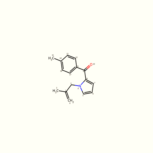 C=C(C)Cn1cccc1C(=O)c1ccc(C)cc1